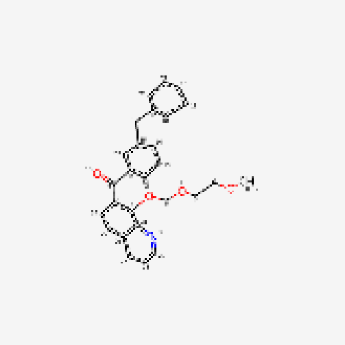 COCCOCOc1c(C(=O)c2cccc(Cc3ccccc3)c2)ccc2cccnc12